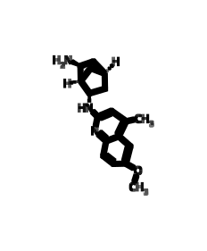 COc1ccc2nc(N[C@H]3C[C@H]4C[C@@H]3[C@@H](N)C4)cc(C)c2c1